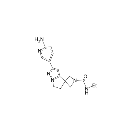 CCNC(=O)N1CC2(CCn3nc(-c4ccc(N)nc4)cc32)C1